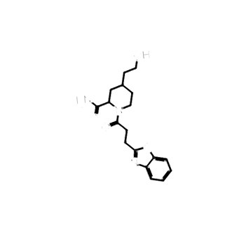 NC(=O)C1CC(CCO)CCN1C(=O)[CH]Cc1nc2ccccc2s1